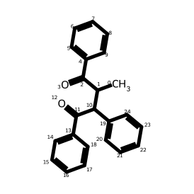 CC(C(=O)c1ccccc1)C(C(=O)c1ccccc1)c1ccccc1